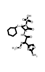 CON=C(C(=O)N[C@@H]1C(=O)N(S(=O)(=O)O)[C@H]1SC1CCCCC1)c1csc(N)n1